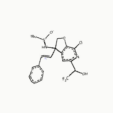 CC(C)(C)[S+]([O-])NC1(/C=C/c2ccccc2)COc2c1cc(C(O)C(F)(F)F)nc2Cl